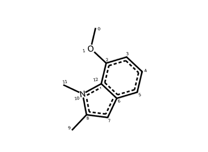 COc1cccc2cc(C)n(C)c12